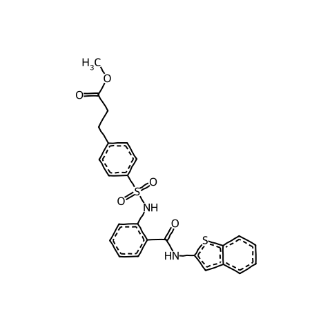 COC(=O)CCc1ccc(S(=O)(=O)Nc2ccccc2C(=O)Nc2cc3ccccc3s2)cc1